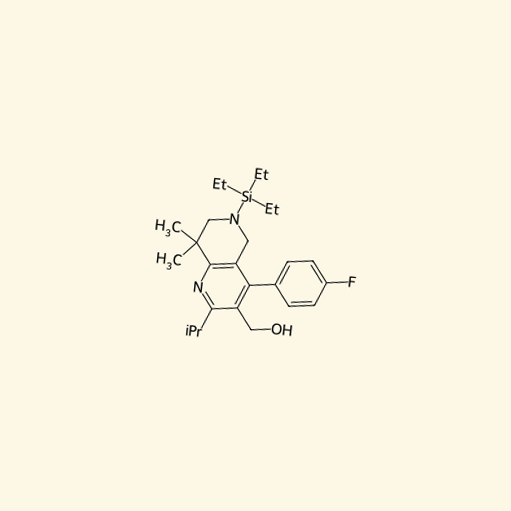 CC[Si](CC)(CC)N1Cc2c(nc(C(C)C)c(CO)c2-c2ccc(F)cc2)C(C)(C)C1